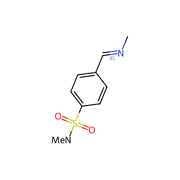 C/N=C/c1ccc(S(=O)(=O)NC)cc1